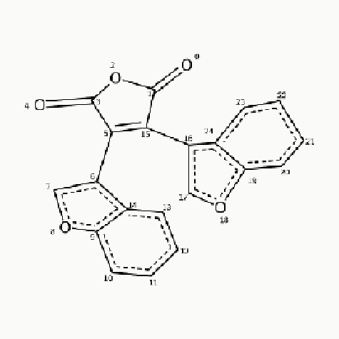 O=C1OC(=O)C(c2coc3ccccc23)=C1c1coc2ccccc12